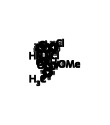 COCCOc1ccc(C)cc1C(=O)NC1N=C(c2c(Cl)cc(Cl)cc2Cl)c2ccccc2NC1=O